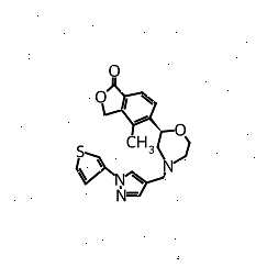 Cc1c([C@@H]2CN(Cc3cnn(-c4ccsc4)c3)CCO2)ccc2c1COC2=O